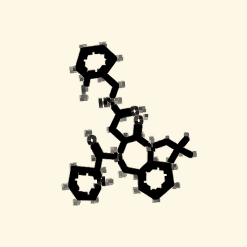 CC(C)(C)CN1C(=O)C(CC(=O)NCc2ccccc2F)N(C(=O)c2ccccn2)Cc2ccccc21